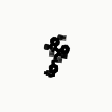 Cn1ccc2ccc(CNCc3[nH]c4ccccc4c3C3NC(=O)c4ccc(O)cc43)cc21